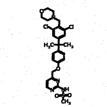 CC(C)(c1ccc(OCc2ccnc(NS(C)(=O)=O)n2)cc1)c1cc(Cl)c(CN2CCOCC2)c(Cl)c1